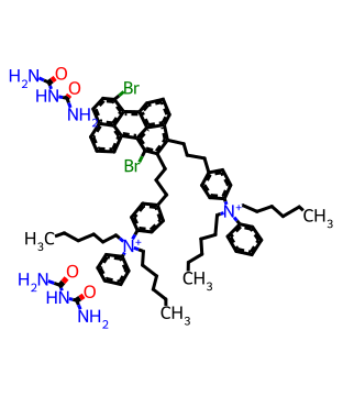 CCCCCC[N+](CCCCCC)(c1ccccc1)c1ccc(CCCc2c(CCCc3ccc([N+](CCCCCC)(CCCCCC)c4ccccc4)cc3)c3cccc4c5c(Br)ccc6cccc(c(c2Br)c34)c65)cc1.NC(=O)NC(N)=O.NC(=O)NC(N)=O